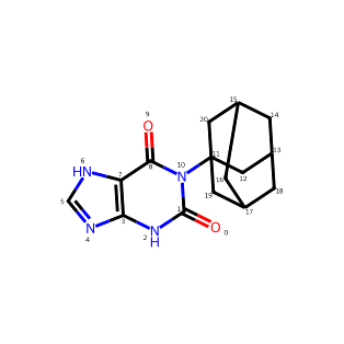 O=c1[nH]c2nc[nH]c2c(=O)n1C12CC3CC(CC(C3)C1)C2